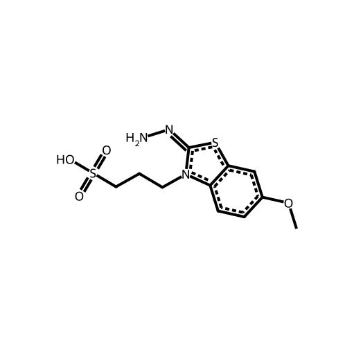 COc1ccc2c(c1)s/c(=N/N)n2CCCS(=O)(=O)O